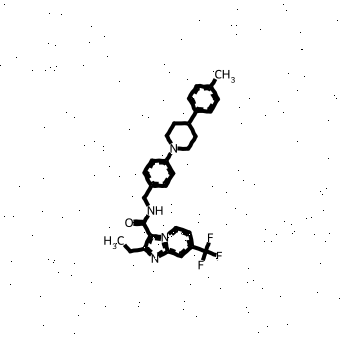 CCc1nc2cc(C(F)(F)F)ccn2c1C(=O)NCc1ccc(N2CCC(c3ccc(C)cc3)CC2)cc1